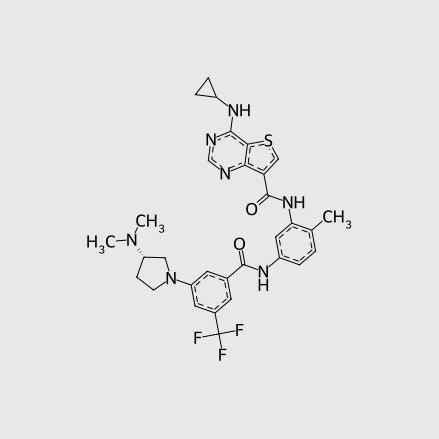 Cc1ccc(NC(=O)c2cc(N3CC[C@H](N(C)C)C3)cc(C(F)(F)F)c2)cc1NC(=O)c1csc2c(NC3CC3)ncnc12